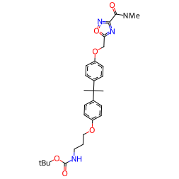 CNC(=O)c1noc(COc2ccc(C(C)(C)c3ccc(OCCCNC(=O)OC(C)(C)C)cc3)cc2)n1